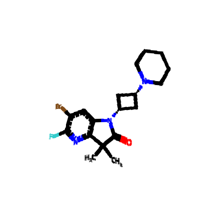 CC1(C)C(=O)N([C@H]2C[C@@H](N3CCCCC3)C2)c2cc(Br)c(F)nc21